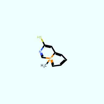 CP12=CC=CC=C1C=C(S)N=C2